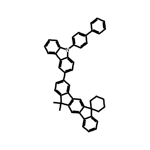 CC1(C)c2ccc(-c3ccc4c(c3)c3ccccc3n4-c3ccc(-c4ccccc4)cc3)cc2-c2cc3c(cc21)-c1ccccc1C31CCCCC1